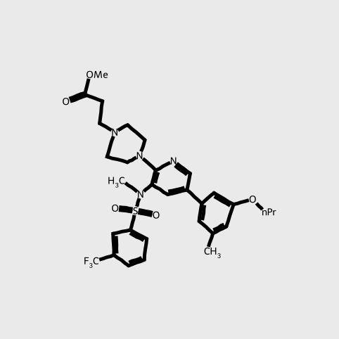 CCCOc1cc(C)cc(-c2cnc(N3CCN(CCC(=O)OC)CC3)c(N(C)S(=O)(=O)c3cccc(C(F)(F)F)c3)c2)c1